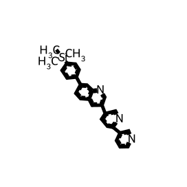 C[Si](C)(C)c1ccc(-c2ccc3cc(-c4ccc(-c5cccnc5)nc4)cnc3c2)cc1